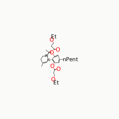 C=C(C)[C@@H]1CCC(C)=C[C@H]1c1c(OC(=O)CCOCC)cc(CCCCC)cc1OC(=O)CCOCC